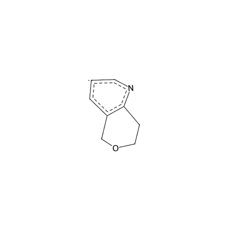 [c]1cnc2c(c1)COCC2